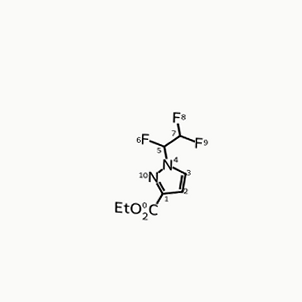 CCOC(=O)c1ccn(C(F)C(F)F)n1